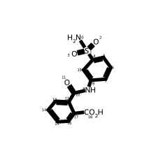 NS(=O)(=O)c1cccc(NC(=O)c2ccccc2C(=O)O)c1